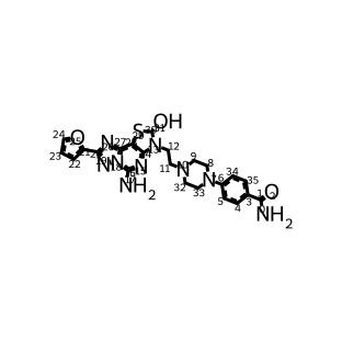 NC(=O)c1ccc(N2CCN(CCN3c4nc(N)n5nc(-c6ccco6)nc5c4SC3O)CC2)cc1